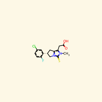 Cn1c(CC(=O)O)c2n(c1=S)C[C@H](c1cc(Cl)ccc1F)C2